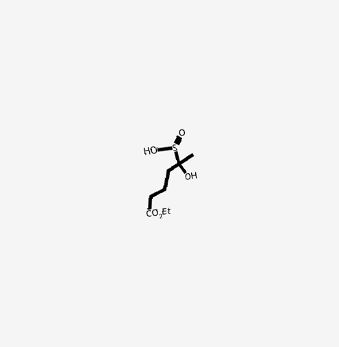 CCOC(=O)CCCC(C)(O)S(=O)O